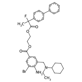 CCN(Cc1cc(C(=O)OCCOC(=O)C(C)(F)c2ccc(-c3ccccc3)cc2)cc(Br)c1N)C1CCCCC1